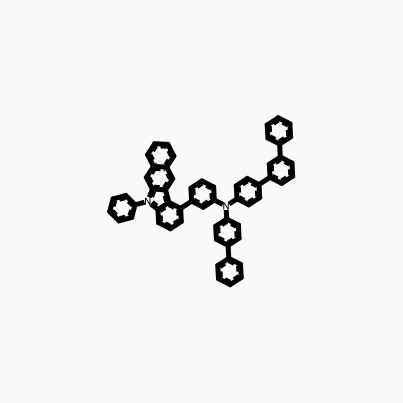 c1ccc(-c2ccc(N(c3ccc(-c4cccc(-c5ccccc5)c4)cc3)c3cccc(-c4cccc5c4c4cc6ccccc6cc4n5-c4ccccc4)c3)cc2)cc1